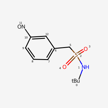 CC(C)(C)NS(=O)(=O)Cc1cccc(N=O)c1